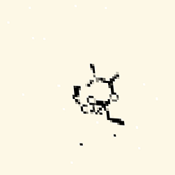 C=CC(=O)OC(C)N(C)C.C=COC(C)=O